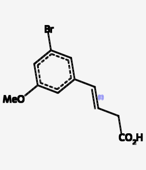 COc1cc(Br)cc(/C=C/CC(=O)O)c1